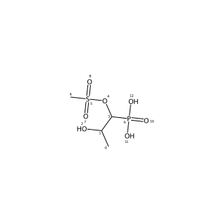 CC(O)C(OS(C)(=O)=O)P(=O)(O)O